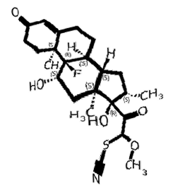 COC(SC#N)C(=O)[C@@]1(O)[C@@H](C)C[C@H]2[C@@H]3CCC4=CC(=O)CC[C@]4(C)[C@@]3(F)[C@@H](O)C[C@@]21C